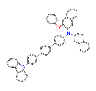 c1ccc2cc(N(c3ccc(-c4ccc(-c5ccc(-n6c7ccccc7c7ccccc76)cc5)cc4)cc3)c3cc4ccccc4c4c3oc3ccccc34)ccc2c1